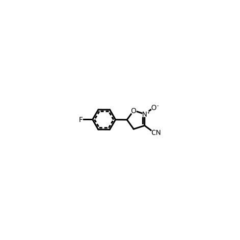 N#CC1=[N+]([O-])OC(c2ccc(F)cc2)C1